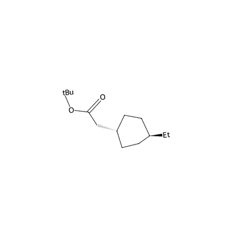 CC[C@H]1CC[C@H](CC(=O)OC(C)(C)C)CC1